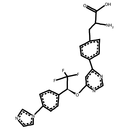 NC(Cc1ccc(-c2cc(O[C@@H](c3ccc(-n4ccnc4)cc3)C(F)(F)F)ncn2)cc1)C(=O)O